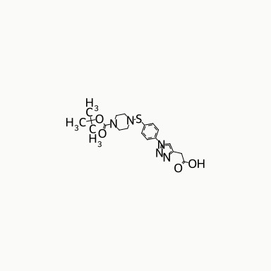 CC(C)(C)OC(=O)N1CCN(Sc2ccc(-n3cc(CC(=O)O)nn3)cc2)CC1